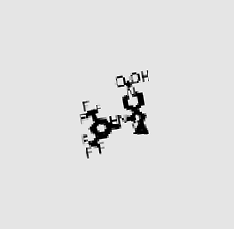 O=C(O)N1CCC(CC2CC2)(C(=O)NCc2cc(C(F)(F)F)cc(C(F)(F)F)c2)CC1